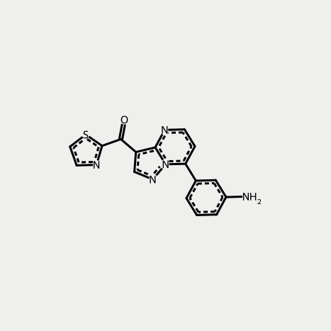 Nc1cccc(-c2ccnc3c(C(=O)c4nccs4)cnn23)c1